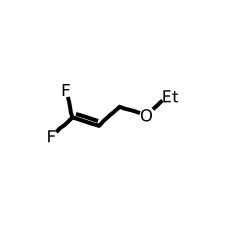 CCOCC=C(F)F